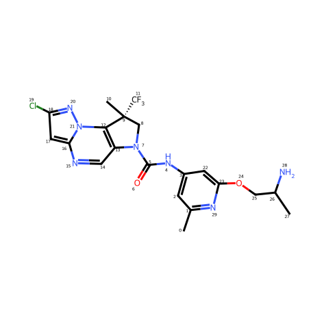 Cc1cc(NC(=O)N2C[C@@](C)(C(F)(F)F)c3c2cnc2cc(Cl)nn32)cc(OCC(C)N)n1